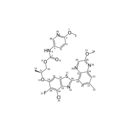 COc1ccc(NC(=O)OC[C@H](C)Oc2cc3sc(-c4cc(C)cc5nc(OC)cnc45)nc3c(Cl)c2F)cn1